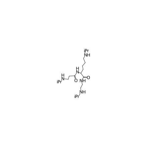 CC(C)NCCCCC(NC(=O)CCNC(C)C)C(=O)NCCNC(C)C